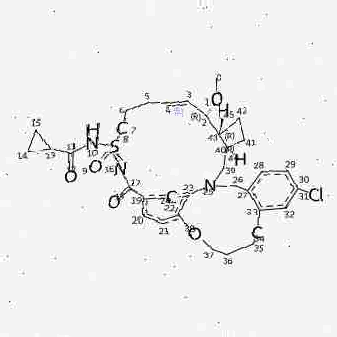 CO[C@H]1/C=C/CCCS(=O)(NC(=O)C2CC2)=NC(=O)c2ccc3c(c2)N(Cc2ccc(Cl)cc2CCCCO3)C[C@@H]2CC[C@H]21